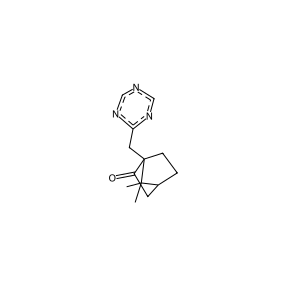 CC1(C)C2CCC1(Cc1ncncn1)C(=O)C2